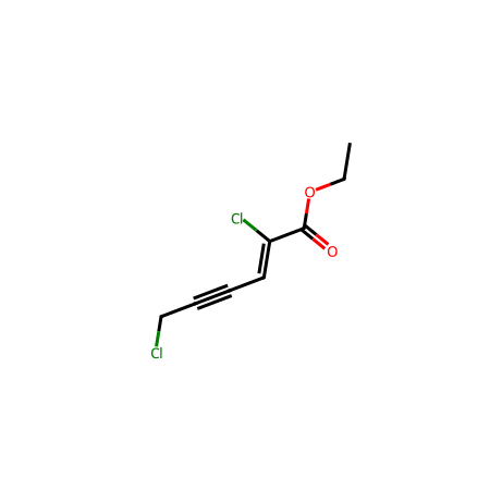 CCOC(=O)C(Cl)=CC#CCCl